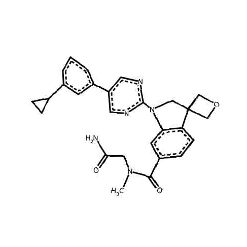 CN(CC(N)=O)C(=O)c1ccc2c(c1)N(c1ncc(-c3cccc(C4CC4)c3)cn1)CC21COC1